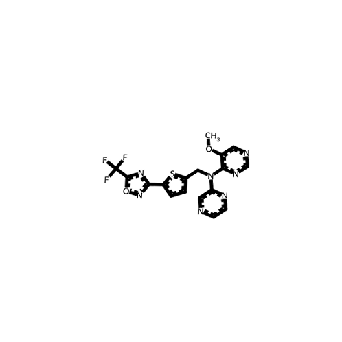 COc1cncnc1N(Cc1ccc(-c2noc(C(F)(F)F)n2)s1)c1cnccn1